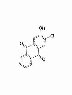 O=C1c2ccccc2C(=O)c2cc(Cl)c(O)cc21